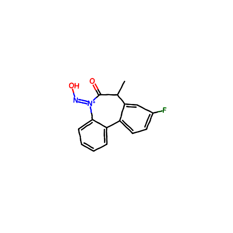 CC1C(=O)[N+](=NO)c2ccccc2-c2ccc(F)cc21